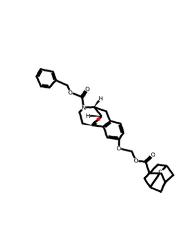 O=C(OCc1ccccc1)N1CC[C@]23CCCC[C@H]2[C@H]1Cc1ccc(OCOC(=O)C24CC5CC(CC(C5)C2)C4)cc13